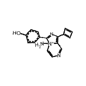 N[N+]12C=CN=CC1=C(C1=CC=C1)N=C2c1ccc(O)cc1